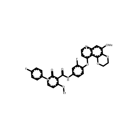 CCOc1ccn(-c2ccc(F)cc2)c(=O)c1C(=O)Nc1ccc(Oc2ccnc3cc(OC)c4c(c23)OCCO4)c(F)c1